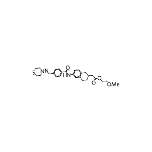 COCCOC(=O)CC1CCc2cc(NC(=O)c3ccc(/C=N/N4CCSCC4)cc3)ccc2C1